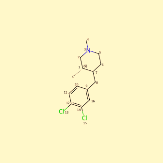 C[C@@H]1CN(C)CCC1Cc1ccc(Cl)c(Cl)c1